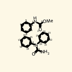 COC(=O)Nc1ccccc1.NC(=O)N(c1ccccc1)c1ccccc1